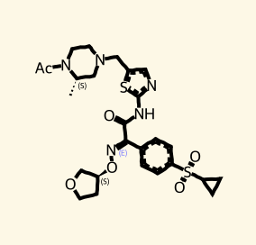 CC(=O)N1CCN(Cc2cnc(NC(=O)/C(=N/O[C@H]3CCOC3)c3ccc(S(=O)(=O)C4CC4)cc3)s2)C[C@@H]1C